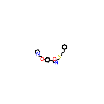 c1ccc(CCCSCc2ncc(-c3ccc(OCCN4CCCC4)cc3)o2)cc1